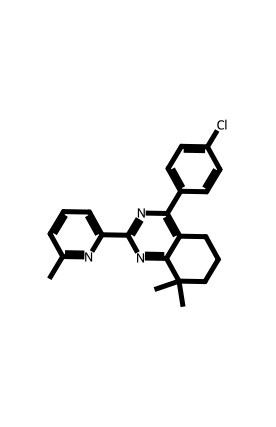 Cc1cccc(-c2nc(-c3ccc(Cl)cc3)c3c(n2)C(C)(C)CCC3)n1